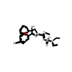 CCN(CC)S(=O)(=O)/N=C(\SC)N1CC(O)(c2ccccc2)C(c2ccc(Cl)cc2)=N1